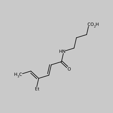 CC=C(C=CC(=O)NCCCC(=O)O)CC